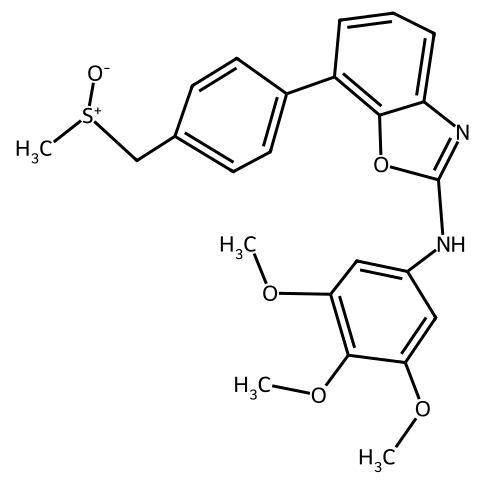 COc1cc(Nc2nc3cccc(-c4ccc(C[S+](C)[O-])cc4)c3o2)cc(OC)c1OC